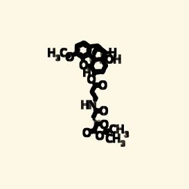 COc1ccc2c3c1O[C@H]1C(OC(=O)CCNC(=O)C[C@@H]4OC(C)(C)OC4=O)=CC[C@@]4(O)[C@H](CCC[C@]314)C2